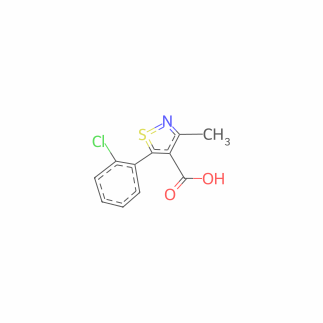 Cc1nsc(-c2ccccc2Cl)c1C(=O)O